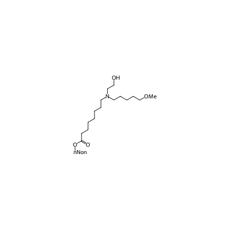 CCCCCCCCCOC(=O)CCCCCCCN(CCO)CCCCCOC